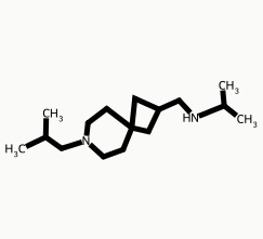 CC(C)CN1CCC2(CC1)CC(CNC(C)C)C2